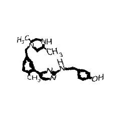 Cc1ccc(CN2C[C@H](C)NC[C@@H]2C)cc1-c1ccnc(NCCc2ccc(O)cc2)n1